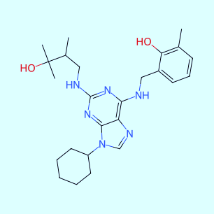 Cc1cccc(CNc2nc(NCC(C)C(C)(C)O)nc3c2ncn3C2CCCCC2)c1O